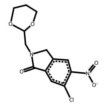 O=C1c2cc(Cl)c([N+](=O)[O-])cc2CN1CC1OCCCO1